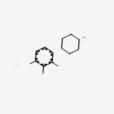 COc1ccc([C@H]2CC[C@H](C=O)CC2)c(F)c1F